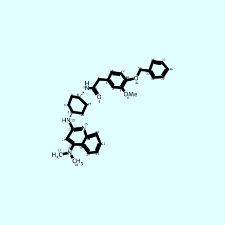 COc1cc(CC(=O)N[C@H]2CC[C@@H](Nc3cc(N(C)C)c4ccccc4n3)CC2)ccc1OCc1ccccc1